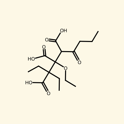 CCCC(=O)C(C(=O)O)C(OCC)(C(=O)O)C(CC)(CC)C(=O)O